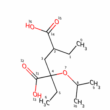 CCC(CC(CC)(OC(C)C)C(=O)O)C(=O)O